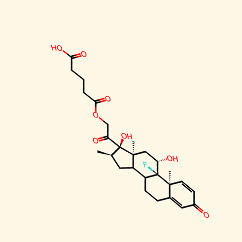 C[C@@H]1CC2C3CCC4=CC(=O)C=C[C@]4(C)[C@@]3(F)[C@@H](O)C[C@]2(C)[C@@]1(O)C(=O)COC(=O)CCCC(=O)O